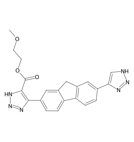 COCCOC(=O)c1[nH]nnc1-c1ccc2c(c1)Cc1cc(-c3c[nH]nn3)ccc1-2